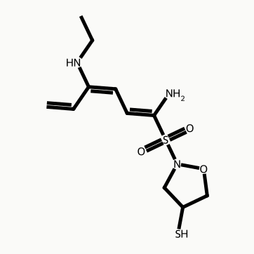 C=C/C(=C\C=C(/N)S(=O)(=O)N1CC(S)CO1)NCC